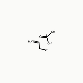 C=CCCl.O=[PH](O)O